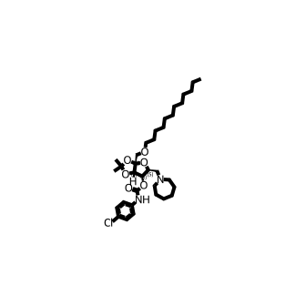 CCCCCCCCCCCCOC[C@@]12O[C@@H](CN3CCCCCC3)[C@@H](OC(=O)Nc3ccc(Cl)cc3)[C@@H]1OC(C)(C)O2